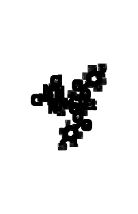 CC[C@]1(COC(=O)c2ccc(C)cc2)O[C@@H](n2cnc3c(Cl)nc(Cl)nc32)C[C@@H]1OC(=O)c1ccc(C)cc1